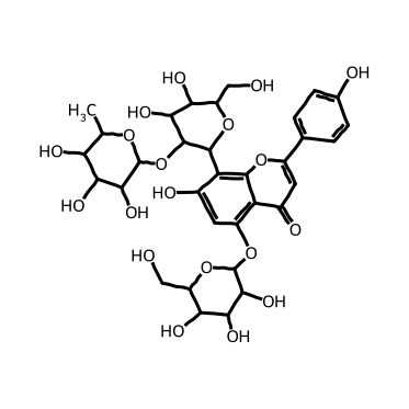 CC1OC(OC2C(c3c(O)cc(OC4OC(CO)C(O)C(O)C4O)c4c(=O)cc(-c5ccc(O)cc5)oc34)OC(CO)C(O)C2O)C(O)C(O)C1O